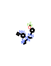 Cn1nccc1-c1nc2cnc(-c3cccc(OC(F)(F)F)c3)nc2n1-c1ccc(C2(N)CCC2)cc1